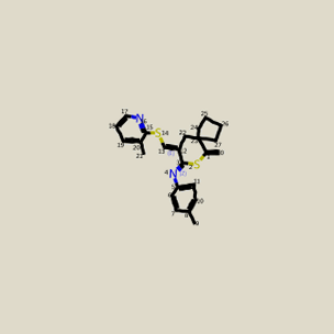 C=C1SC(=N\c2ccc(C)cc2)/C(=C/Sc2ncccc2C)CC12CCCC2